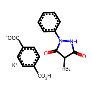 CCCCC1C(=O)NN(c2ccccc2)C1=O.O=C([O-])c1ccc(C(=O)O)cc1.[K+]